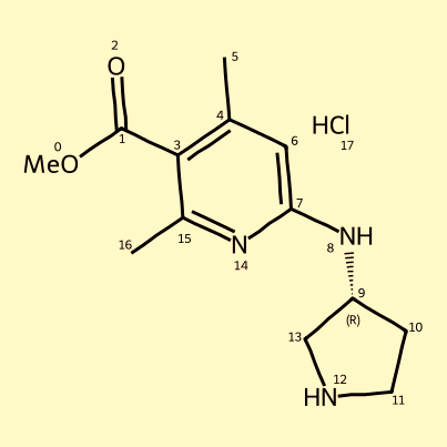 COC(=O)c1c(C)cc(N[C@@H]2CCNC2)nc1C.Cl